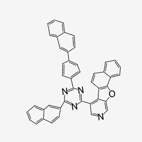 c1ccc2cc(-c3ccc(-c4nc(-c5ccc6ccccc6c5)nc(-c5cncc6oc7c8ccccc8ccc7c56)n4)cc3)ccc2c1